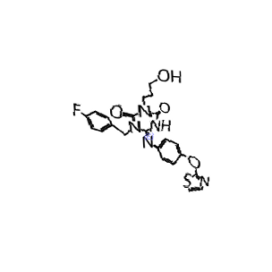 O=c1[nH]/c(=N\c2ccc(Oc3nccs3)cc2)n(Cc2ccc(F)cc2)c(=O)n1CCCO